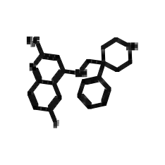 Fc1ccc2nc(C(F)(F)F)cc(NCC3(c4ccccc4)CCNCC3)c2c1